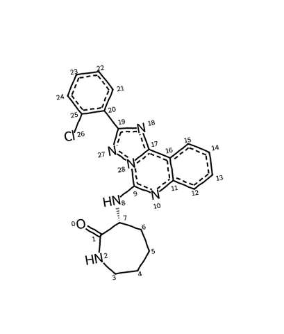 O=C1NCCCC[C@H]1Nc1nc2ccccc2c2nc(-c3ccccc3Cl)nn12